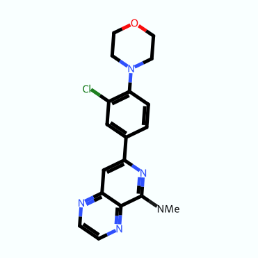 CNc1nc(-c2ccc(N3CCOCC3)c(Cl)c2)cc2nccnc12